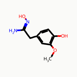 COc1cc(CC(N)=NO)ccc1O